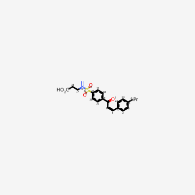 CC(C)c1ccc(/C=C\C(=O)c2ccc(S(=O)(=O)NCCC(=O)O)cc2)cc1